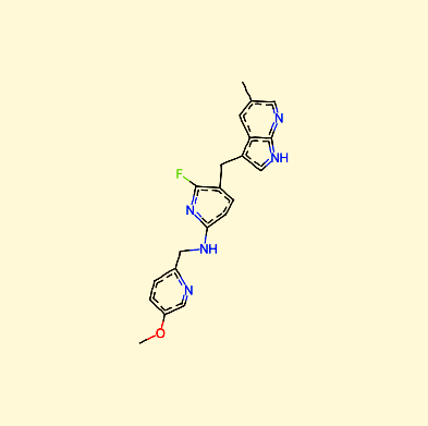 COc1ccc(CNc2ccc(Cc3c[nH]c4ncc(C)cc34)c(F)n2)nc1